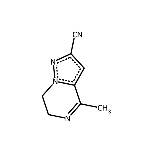 CC1=NCCn2nc(C#N)cc21